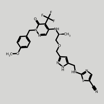 COc1ccc(Cn2ncc(N[C@@H](C)COCc3cc(CNc4ncc(C#N)s4)[nH]n3)c(C(F)(F)F)c2=O)cc1